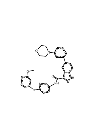 COc1cc(Oc2ccc(NC(=O)c3n[nH]c4ccc(-c5cncc(N6CCOCC6)c5)cc34)cn2)ccn1